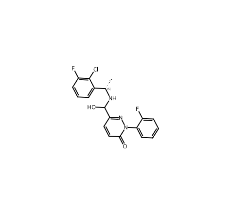 C[C@H](NC(O)c1ccc(=O)n(-c2ccccc2F)n1)c1cccc(F)c1Cl